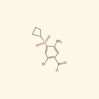 CCc1cc(S(=O)(=O)C2CCC2)c([N+](=O)[O-])cc1C(=O)Cl